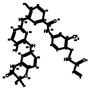 C=CC(=O)NCc1ccc(NC(=O)c2ccc(C)c(Nc3ncc(F)c(Nc4ccc5c(n4)NC(=O)C(C)(C)O5)n3)c2)cc1C(F)(F)F